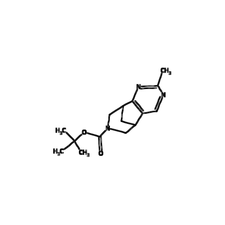 Cc1ncc2c(n1)C1CC2CN(C(=O)OC(C)(C)C)C1